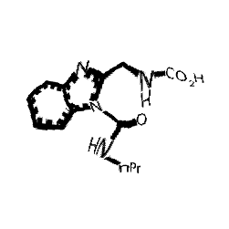 CCCNC(=O)n1c(CNC(=O)O)nc2ccccc21